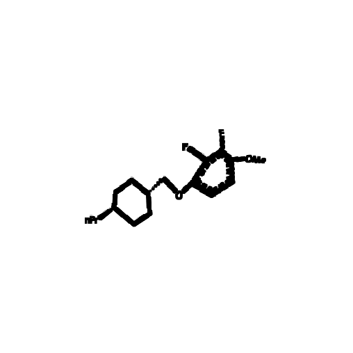 CCC[C@H]1CC[C@H](COc2ccc(OC)c(F)c2F)CC1